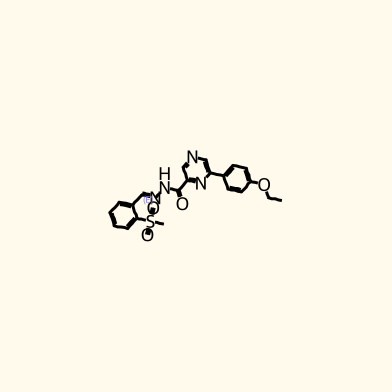 CCOc1ccc(-c2cncc(C(=O)N/N=C/c3ccccc3S(C)(=O)=O)n2)cc1